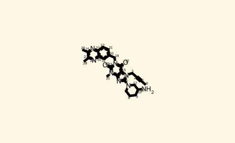 CC#CCn1c(N2CCCC(N)C2)nc2c1c(=O)n(Cc1ccc3nc(C)c(C)nc3c1)c(=O)n2C